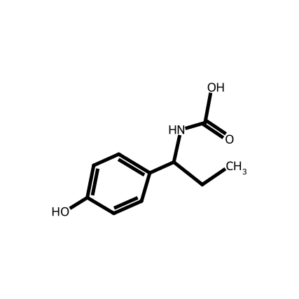 CCC(NC(=O)O)c1ccc(O)cc1